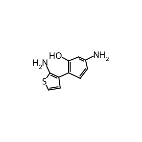 Nc1ccc(-c2ccsc2N)c(O)c1